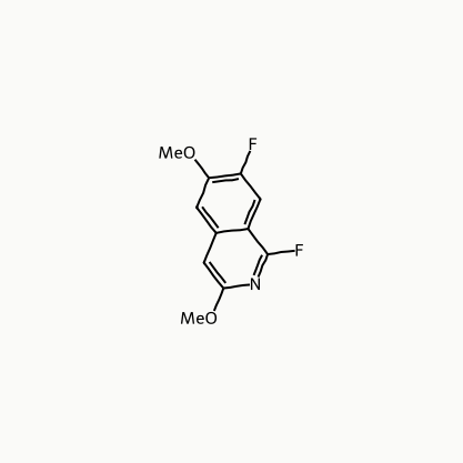 COc1cc2cc(OC)c(F)cc2c(F)n1